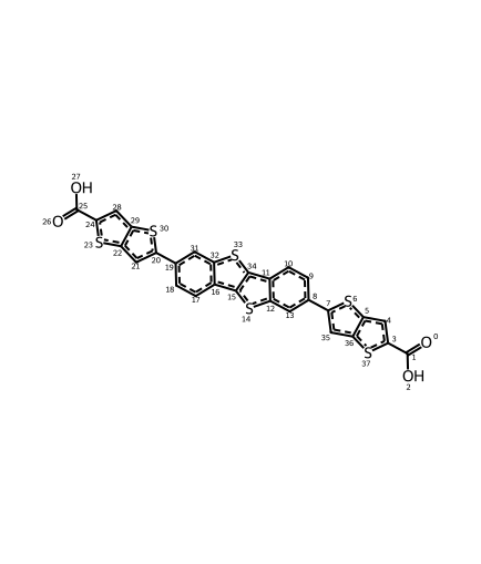 O=C(O)c1cc2sc(-c3ccc4c(c3)sc3c5ccc(-c6cc7sc(C(=O)O)cc7s6)cc5sc43)cc2s1